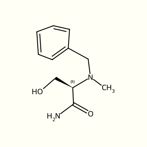 CN(Cc1ccccc1)[C@H](CO)C(N)=O